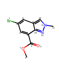 COC(=O)c1cc(Br)cc2cn(C)nc12